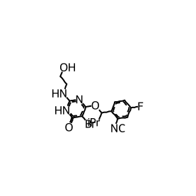 CC(C)C(Oc1nc(NCCO)[nH]c(=O)c1Br)c1ccc(F)cc1C#N